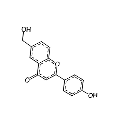 O=c1cc(-c2ccc(O)cc2)oc2ccc(CO)cc12